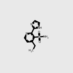 CCc1ccnc(-c2ncc[nH]2)c1S(N)(=O)=O